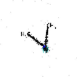 CCCCCCCCCCCCCCCCCCCN(CCCCCCCCCCCCCCCCCC)c1c(F)c(F)c(F)c(F)c1F